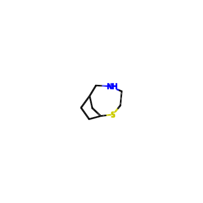 C1CSC2CCC(CN1)C2